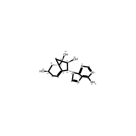 Nc1ncnc2c1ncn2[C@@H]1C2=CC[C@@H](O)C[C@@]23C[C@]3(O)[C@H]1O